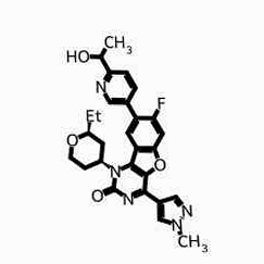 CC[C@H]1C[C@@H](n2c(=O)nc(-c3cnn(C)c3)c3oc4cc(F)c(-c5ccc(C(C)O)nc5)cc4c32)CCO1